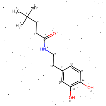 CCCC(C)(C)CCC(=O)NCCc1ccc(O)c(O)c1